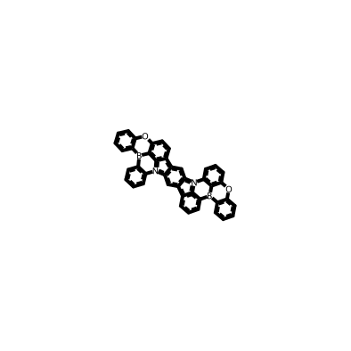 c1ccc2c(c1)Oc1cccc3c1B2c1cccc2c4cc5c(cc4n-3c12)c1ccc2c3c1n5-c1ccccc1B3c1ccccc1O2